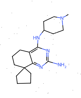 CN1CCC(Nc2nc(N)nc3c2CCCC32CCCC2)CC1